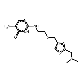 CN(C)Cc1nc(CSCCNc2ncc(N)c(=O)[nH]2)cs1